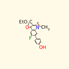 CCOC(=O)c1c2n(c3cc(-c4ccc(O)cc4)c(F)cc3c1=O)C(C)S2